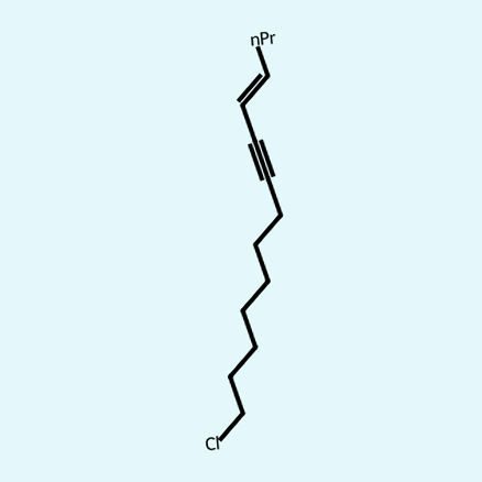 CCCC=CC#CCCCCCCCCl